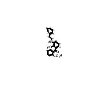 O=C(O)c1ccccc1C(=O)c1cccc(NCCc2ccccn2)c1O